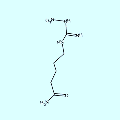 N=C(NCCCCC(N)=O)N[N+](=O)[O-]